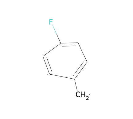 [CH2]c1[c]cc(F)cc1